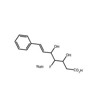 O=C(O)CC(O)C(F)C(O)/C=C/c1ccccc1.[NaH]